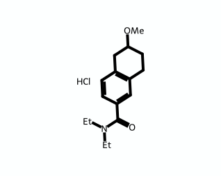 CCN(CC)C(=O)c1ccc2c(c1)CCC(OC)C2.Cl